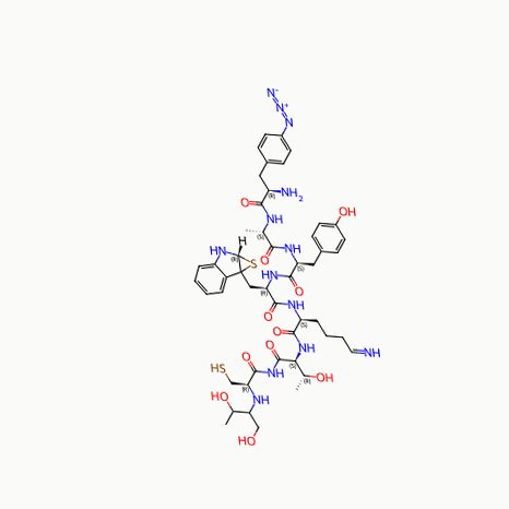 CC(O)C(CO)N[C@@H](CS)C(=O)NC(=O)[C@@H](NC(=O)[C@H](CCCC=N)NC(=O)[C@@H](CC12S[C@H]1Nc1ccccc12)NC(=O)[C@H](Cc1ccc(O)cc1)NC(=O)[C@H](C)NC(=O)[C@H](N)Cc1ccc(N=[N+]=[N-])cc1)[C@@H](C)O